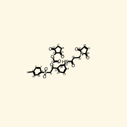 Cc1ccc(S(=O)(=O)CC(OC(=O)OC2C(=O)CCC2=O)c2cccc(NC(=O)CCN3C(=O)C=CC3=O)c2)cc1